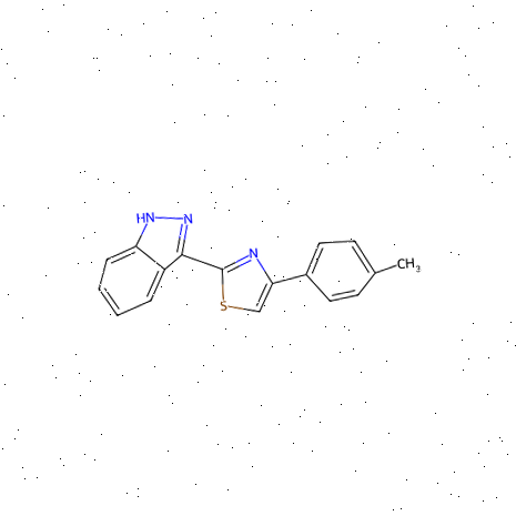 Cc1ccc(-c2csc(-c3n[nH]c4ccccc34)n2)cc1